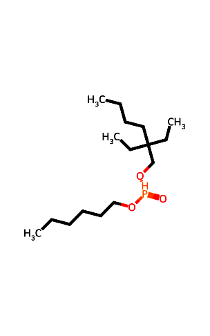 CCCCCCO[PH](=O)OCC(CC)(CC)CCCC